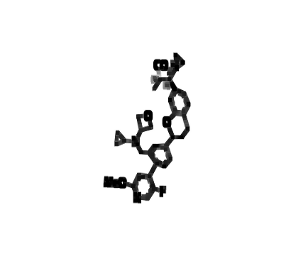 COc1cc(-c2ccc(C3CCc4ccc([C@H](C5CC5)[C@H](C)C(=O)O)cc4O3)cc2CN(C2CC2)C2COC2)c(F)cn1